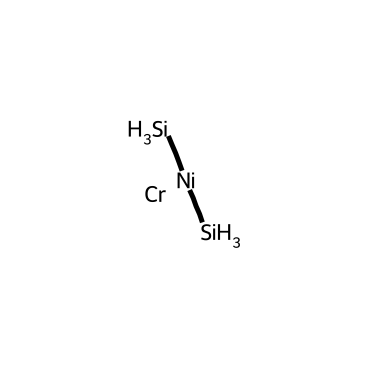 [Cr].[SiH3][Ni][SiH3]